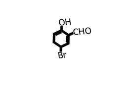 O=CC1=CC(Br)CC=C1O